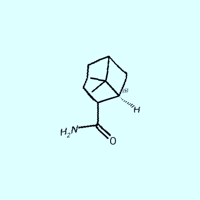 CC1(C)C2CCC(C(N)=O)[C@@H]1C2